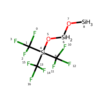 FC(F)(F)[Si](O[SiH2]O[SiH3])(C(F)(F)F)C(F)(F)F